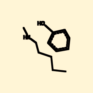 CCCCCNC.Oc1ccccc1